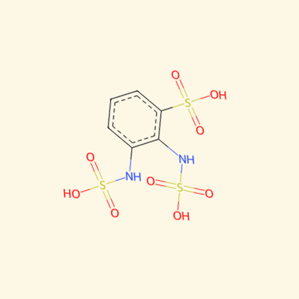 O=S(=O)(O)Nc1cccc(S(=O)(=O)O)c1NS(=O)(=O)O